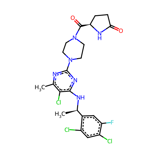 Cc1nc(N2CCN(C(=O)[C@H]3CCC(=O)N3)CC2)nc(N[C@H](C)c2cc(F)c(Cl)cc2Cl)c1Cl